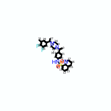 C=C(c1ccc(NS(=O)(=O)c2cccc3cccnc23)cc1)N1CCN(C(C)c2cc(C)c(F)c(F)c2)C[C@H]1C